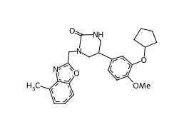 COc1ccc(C2CNC(=O)N(Cc3nc4c(C)cccc4o3)C2)cc1OC1CCCC1